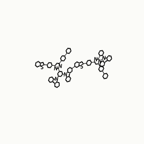 c1ccc(-c2ccc(-c3cc(-c4ccc(-c5cc6ccccc6s5)cc4)nc(-c4cc(-n5c6ccccc6c6ccccc65)cc(-n5c6ccccc6c6cc(-c7ccc8cc(-c9ccc(-c%10cc(-c%11ccc(-c%12ccccc%12)cc%11)nc(-c%11ccccc%11-n%11c%12ccccc%12c%12ccccc%12%11)n%10)cc9)sc8c7)ccc65)c4)n3)cc2)cc1